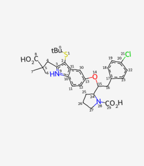 CC(C)(C)Sc1c(CC(C)(C)C(=O)O)[nH]c2ccc(OC(Cc3ccc(Cl)cc3)C3CCCN3C(=O)O)cc12